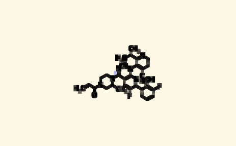 C=CC(=O)N1CCN(/C(=N/C)c2cc(F)c(-c3cccc(F)c3O)nc2N(C=O)c2c(C)ccnc2C(C)C)C(C)C1